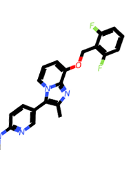 CCN(C)c1ccc(-c2c(C)nc3c(OCc4c(F)cccc4F)cccn23)cn1